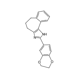 c1ccc2c(c1)CCCc1nc(-c3ccc4c(c3)OCCO4)[nH]c1-2